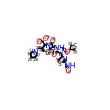 O=CNc1nc(C(=NOC2CSC2)C(=O)NC2C(=O)N3C(C(=O)[O-])=C(C[n+]4ccccc4)CS[C@@H]23)cs1